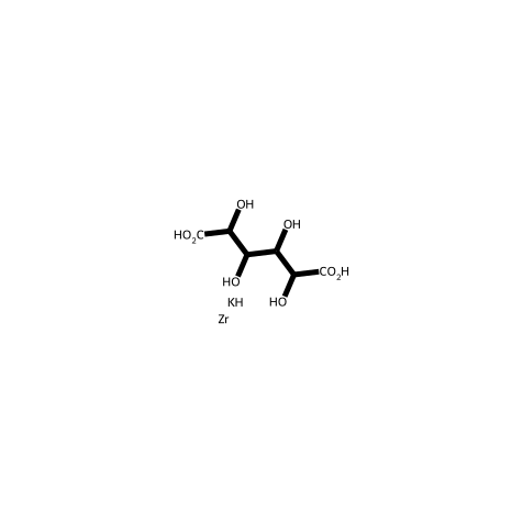 O=C(O)C(O)C(O)C(O)C(O)C(=O)O.[KH].[Zr]